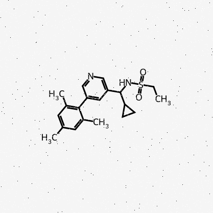 CCS(=O)(=O)NC(c1cncc(-c2c(C)cc(C)cc2C)c1)C1CC1